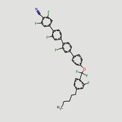 CCCCCc1ccc(C(F)(F)Oc2ccc(-c3ccc(-c4ccc(-c5cc(F)c(C#N)c(F)c5)c(F)c4)c(F)c3)cc2)c(F)c1